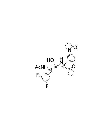 CC(=O)N[C@@H](Cc1cc(F)cc(F)c1)[C@H](O)CN[C@H]1CC2(CCC2)Oc2ccc(N3CCCC3=O)cc21